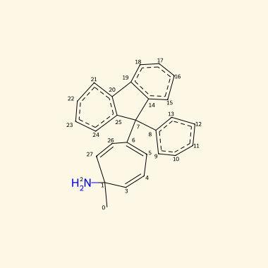 CC1(N)C=CC=C(C2(c3ccccc3)c3ccccc3-c3ccccc32)C=C1